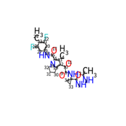 CC(=N)OC(=N)C1(NC(=O)C(=O)c2c(C)c(C(=O)Nc3cc(F)c(C)c(F)c3)n3c2CCC3)CC1